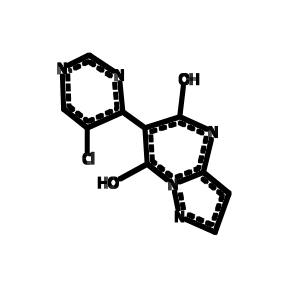 Oc1nc2ccnn2c(O)c1-c1ncncc1Cl